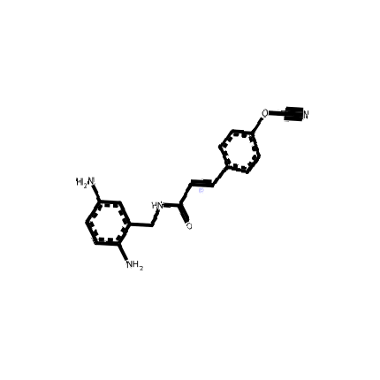 N#COc1ccc(/C=C/C(=O)NCc2cc(N)ccc2N)cc1